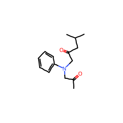 CC(=O)CN(CC(=O)CC(C)C)c1ccccc1